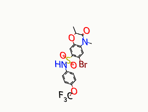 CC1Oc2cc(S(=O)(=O)Nc3ccc(OC(F)(F)F)cc3)c(Br)cc2N(C)C1=O